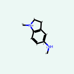 CNc1ccc2c(c1)CCN2C